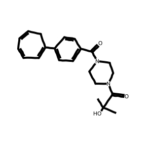 CC(C)(O)C(=O)N1CCN(C(=O)c2ccc(C3=CC=CC=CC3)cc2)CC1